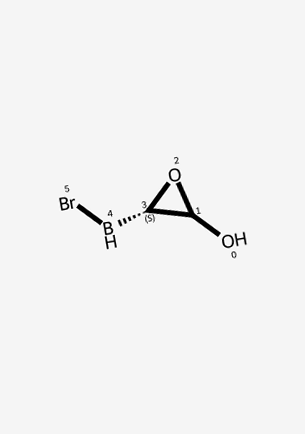 OC1O[C@H]1BBr